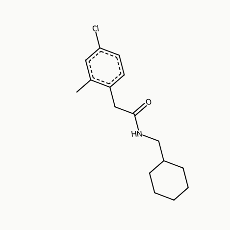 Cc1cc(Cl)ccc1CC(=O)NCC1CCCCC1